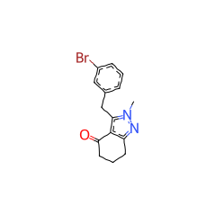 Cn1nc2c(c1Cc1cccc(Br)c1)C(=O)CCC2